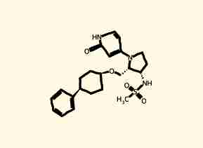 CS(=O)(=O)N[C@H]1CCN(c2cc[nH]c(=O)c2)[C@H]1CO[C@H]1CC[C@@H](c2ccccc2)CC1